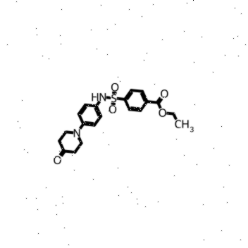 CCOC(=O)c1ccc(S(=O)(=O)Nc2ccc(N3CCC(=O)CC3)cc2)cc1